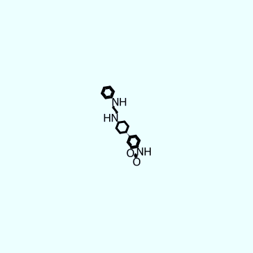 O=c1[nH]c2ccc([C@H]3CC[C@H](NCCNc4ccccc4)CC3)cc2o1